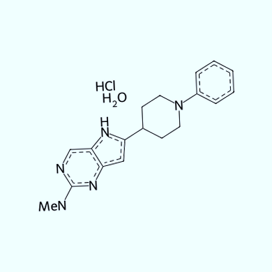 CNc1ncc2[nH]c(C3CCN(c4ccccc4)CC3)cc2n1.Cl.O